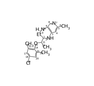 CCC(Nc1cc(C)ncc1N)C(C)Oc1c(C)cc(Cl)cc1C